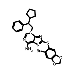 Nc1ncn(CC(c2ccccc2)C2CCCC2)c2nc(Sc3cc4c(cc3Br)OCO4)nc1-2